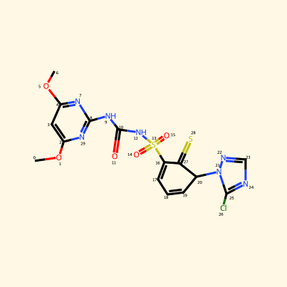 COc1cc(OC)nc(NC(=O)NS(=O)(=O)C2=CC=CC(n3ncnc3Cl)C2=S)n1